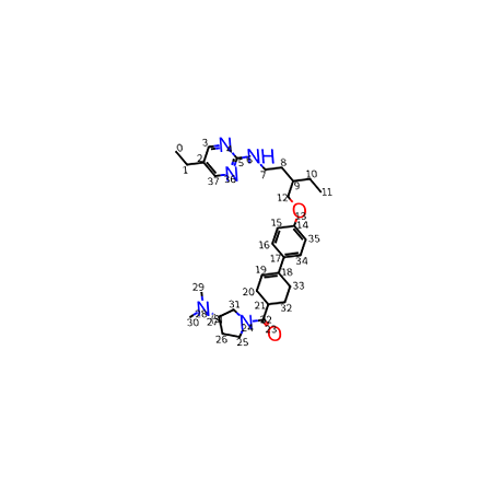 CCc1cnc(NCCC(CC)COc2ccc(C3=CCC(C(=O)N4CC[C@H](N(C)C)C4)CC3)cc2)nc1